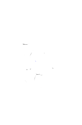 Cc1cc(N(c2cccc(O)c2C)C2C[C@@](F)(C(=O)O)CCCOCC2(C)C)ccc1F